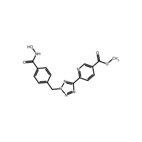 COC(=O)c1ccc(-c2nnn(Cc3ccc(C(=O)NO)cc3)n2)nc1